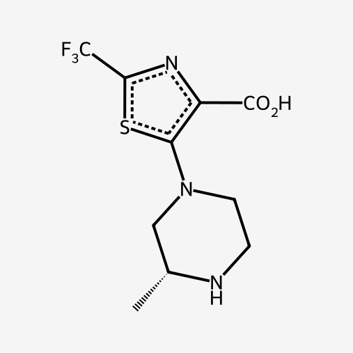 C[C@@H]1CN(c2sc(C(F)(F)F)nc2C(=O)O)CCN1